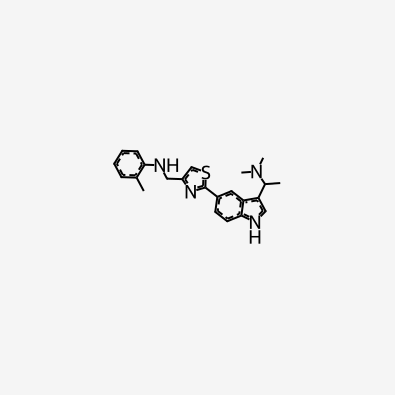 Cc1ccccc1NCc1csc(-c2ccc3[nH]cc(C(C)N(C)C)c3c2)n1